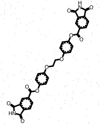 O=C(Oc1ccc(OCCOc2ccc(OC(=O)c3ccc4c(c3)C(=O)NC4=O)cc2)cc1)c1ccc2c(c1)C(=O)NC2=O